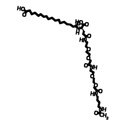 CC(=O)NCCCCNC(=O)COCCOCCNC(=O)COCCOCCNC(=O)CC[C@H](NC(=O)CCCCCCCCCCCCCCCCC(=O)O)C(=O)O